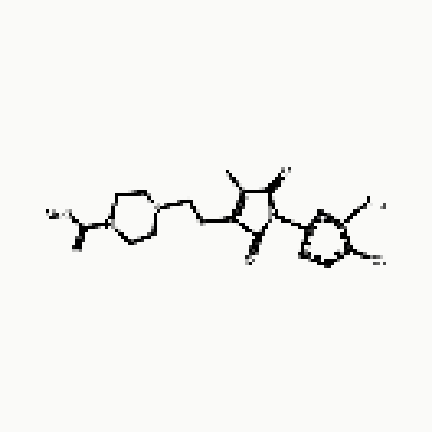 COC(=O)N1CCN(CCC2=C(C)C(=O)N(c3ccc(C#N)c(C(F)(F)F)c3)C2=O)CC1